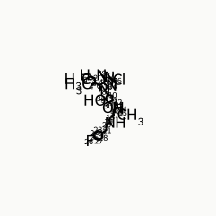 C/C=C\C(=C/C)c1cn([C@@H]2C[C@H](CN(CC)CCCNCCc3ccc(F)cc3)[C@@H](O)[C@H]2O)c2nc(Cl)nc(N)c12